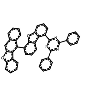 c1ccc(-c2nc(-c3ccccc3)nc(-c3cccc4oc5c(-c6c7ccccc7cc7oc8ccccc8c67)cccc5c34)n2)cc1